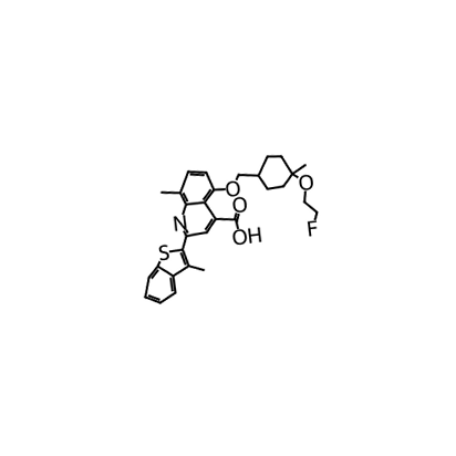 Cc1c(-c2cc(C(=O)O)c3c(OCC4CCC(C)(OCCF)CC4)ccc(C)c3n2)sc2ccccc12